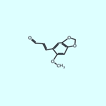 COc1cc2c(cc1C=CC=O)OCO2